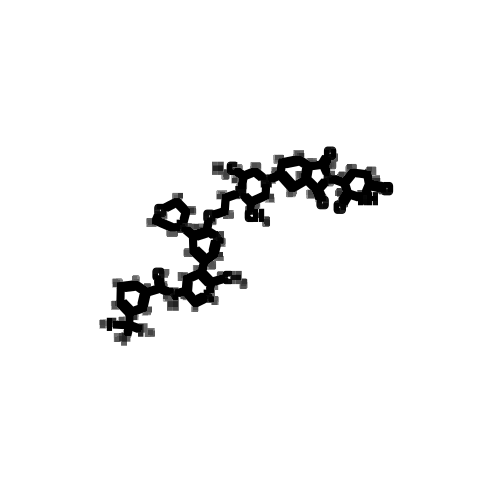 Cc1ncc(NC(=O)c2cccc(C(F)(F)F)c2)cc1-c1cnc(OCCN2C(C)CN(c3ccc4c(c3)C(=O)N(C3CCC(=O)NC3=O)C4=O)CC2C)c(N2CCOCC2)c1